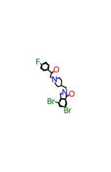 O=C(CN1CCC(CN2Cc3c(Br)cc(Br)cc3C2=O)CC1)c1ccc(F)cc1